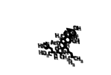 CC(=O)O[C@H]1C[C@@]2(C)[C@@H](C[C@@H](O)[C@H]3[C@]2(C)CC[C@@]24CC2(C)[C@H](O)CC[C@]34C)/C1=C(\CCC=C(C)C)C(=O)NC(C)C(=O)NC(Cc1c[nH]cn1)C(=O)O